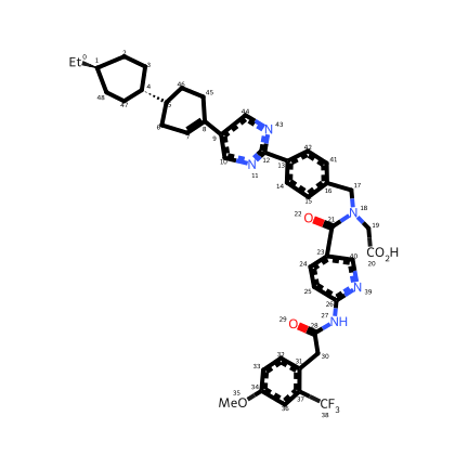 CC[C@H]1CC[C@H](C2CC=C(c3cnc(-c4ccc(CN(CC(=O)O)C(=O)c5ccc(NC(=O)Cc6ccc(OC)cc6C(F)(F)F)nc5)cc4)nc3)CC2)CC1